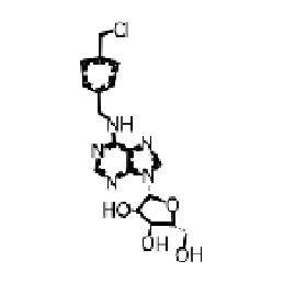 OC[C@H]1O[C@@H](n2cnc3c(NCc4ccc(CCl)cc4)ncnc32)[C@H](O)[C@@H]1O